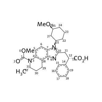 COC(=O)N1c2ccc3c(nc(C[C@H](C(=O)O)c4ccccc4)n3[C@@H]3CCC[C@H](OC)C3)c2CC[C@@H]1C